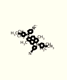 [C-]#[N+]c1ccc(N(c2ccc(C(C)(C)C)cc2)c2cc(C)c3ccc4c(N(c5ccc(C#N)cc5)c5ccc(C(C)(C)C)cc5)cc(C)c5ccc2c3c54)cc1